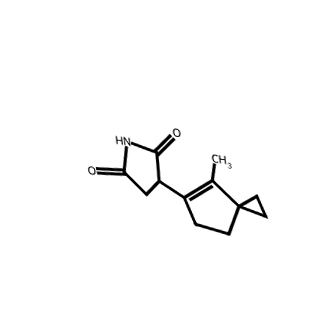 CC1=C(C2CC(=O)NC2=O)CCC12CC2